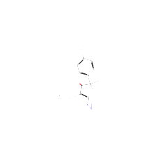 CC(=O)OC1=C(N)OC(C)(c2ccc(F)cc2)C1=O